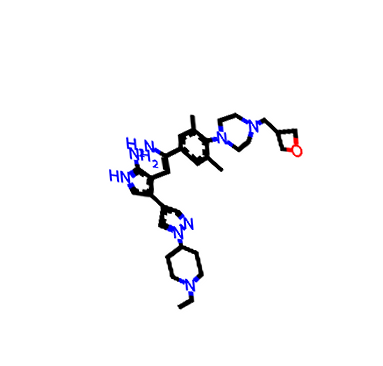 CCN1CCC(n2cc(-c3c[nH]c(N)c3/C=C(\N)c3cc(C)c(N4CCN(CC5COC5)CC4)c(C)c3)cn2)CC1